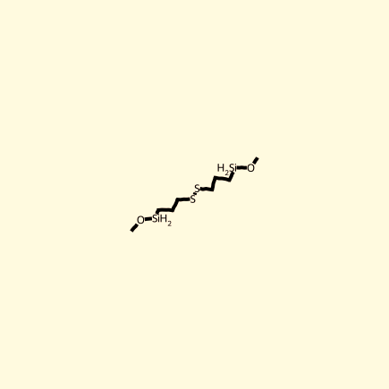 CO[SiH2]CCCSSCCC[SiH2]OC